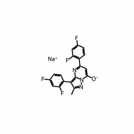 Cc1nn2c([O-])cc(-c3ccc(F)cc3F)nc2c1-c1ccc(F)cc1F.[Na+]